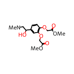 CNCC(O)c1ccc(OCC(=O)OC)c(OCC(=O)OC)c1